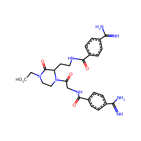 N=C(N)c1ccc(C(=O)NCCC2C(=O)N(CC(=O)O)CCN2C(=O)CNC(=O)c2ccc(C(=N)N)cc2)cc1